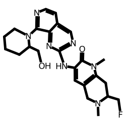 CN1Cc2cc(Nc3ncc4ccnc(N5CCCCC5CO)c4n3)c(=O)n(C)c2CC1CF